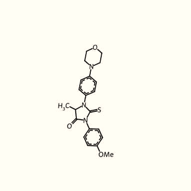 COc1ccc(N2C(=O)C(C)N(c3ccc(N4CCOCC4)cc3)C2=S)cc1